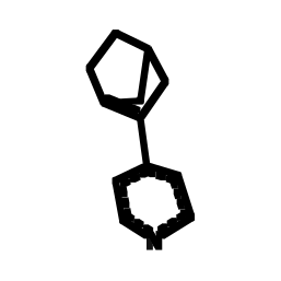 c1cc(C2=C3CCC(C3)C2)ccn1